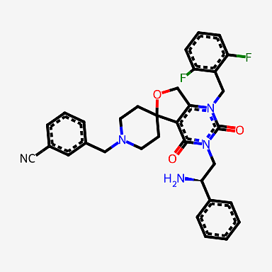 N#Cc1cccc(CN2CCC3(CC2)OCc2c3c(=O)n(C[C@H](N)c3ccccc3)c(=O)n2Cc2c(F)cccc2F)c1